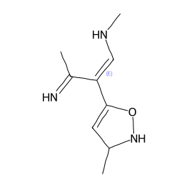 CN/C=C(\C(C)=N)C1=CC(C)NO1